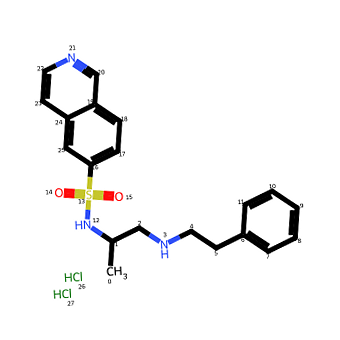 CC(CNCCc1ccccc1)NS(=O)(=O)c1ccc2cnccc2c1.Cl.Cl